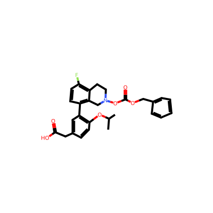 CC(C)Oc1ccc(CC(=O)O)cc1-c1ccc(F)c2c1CN(OC(=O)OCc1ccccc1)CC2